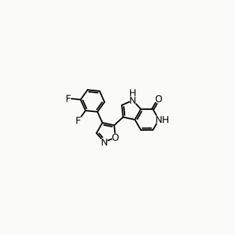 O=c1[nH]ccc2c(-c3oncc3-c3cccc(F)c3F)c[nH]c12